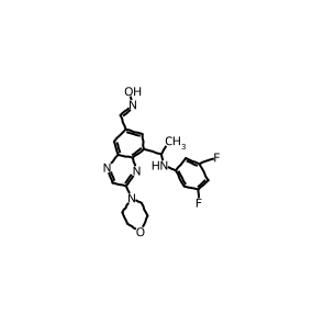 CC(Nc1cc(F)cc(F)c1)c1cc(/C=N/O)cc2ncc(N3CCOCC3)nc12